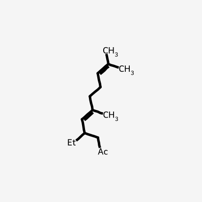 CCC(/C=C(\C)CCC=C(C)C)CC(C)=O